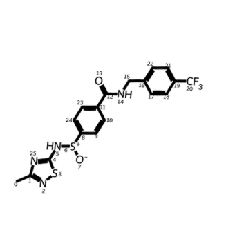 Cc1nsc(N[S+]([O-])c2ccc(C(=O)NCc3ccc(C(F)(F)F)cc3)cc2)n1